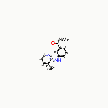 CNC(=O)c1cccc(Nc2ncccc2C(C)C)c1